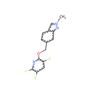 Cn1cc2ccc(COc3nc(F)c(F)cc3F)cc2n1